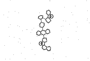 c1ccc(-c2cccc3oc4ccccc4c23)c(-c2ccc(-c3c4ccccc4c(-c4ccc5c(c4)oc4ccc6ccccc6c45)c4ccccc34)cc2)c1